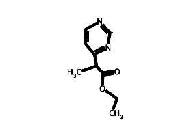 CCOC(=O)C(C)c1ccn[c]n1